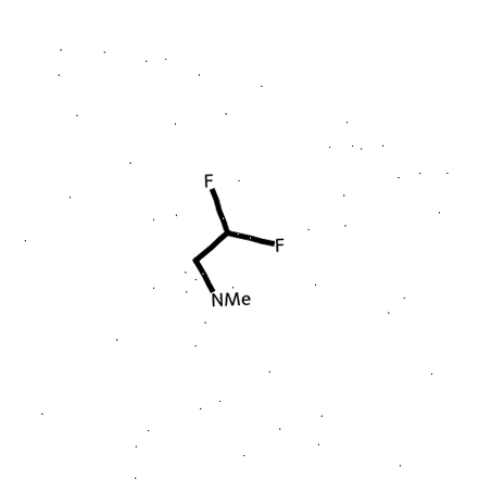 CNCC(F)F